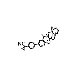 CC1c2cc(-c3ccc(C4(C#N)CC4)cc3)ccc2OC(=O)N1Cc1ncccn1